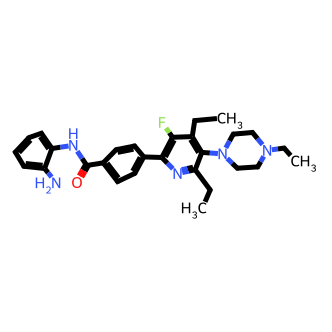 CCc1nc(-c2ccc(C(=O)Nc3ccccc3N)cc2)c(F)c(CC)c1N1CCN(CC)CC1